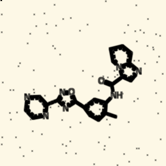 Cc1ccc(-c2nc(-c3cnccn3)no2)cc1NC(=O)c1cnc2ccccn12